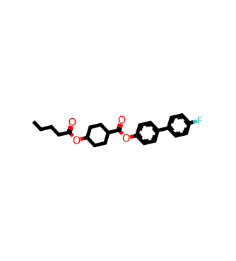 CCCCC(=O)OC1CCC(C(=O)Oc2ccc(-c3ccc(F)cc3)cc2)CC1